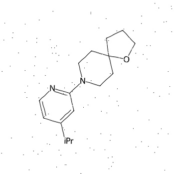 CC(C)c1ccnc(N2CCC3(CCCO3)CC2)c1